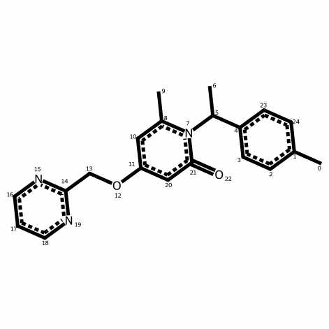 Cc1ccc(C(C)n2c(C)cc(OCc3ncccn3)cc2=O)cc1